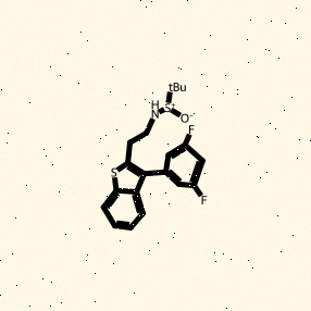 CC(C)(C)[S+]([O-])NCCc1sc2ccccc2c1-c1cc(F)cc(F)c1